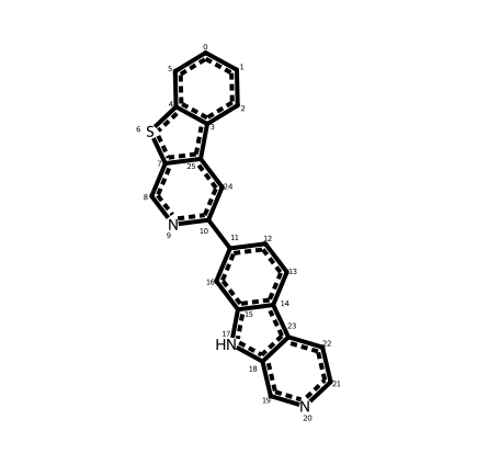 c1ccc2c(c1)sc1cnc(-c3ccc4c(c3)[nH]c3cnccc34)cc12